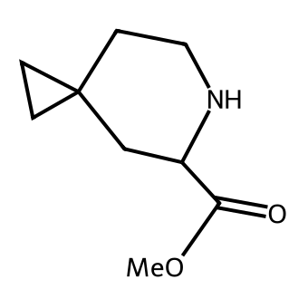 COC(=O)C1CC2(CCN1)CC2